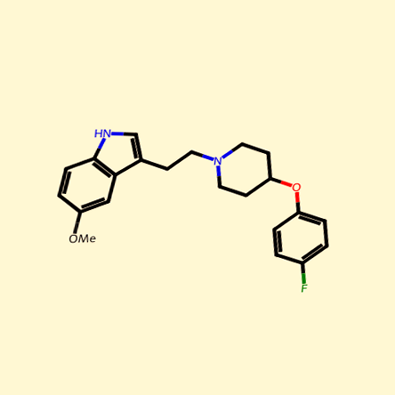 COc1ccc2[nH]cc(CCN3CCC(Oc4ccc(F)cc4)CC3)c2c1